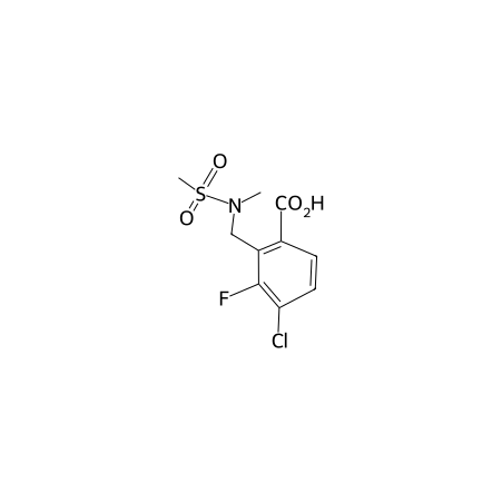 CN(Cc1c(C(=O)O)ccc(Cl)c1F)S(C)(=O)=O